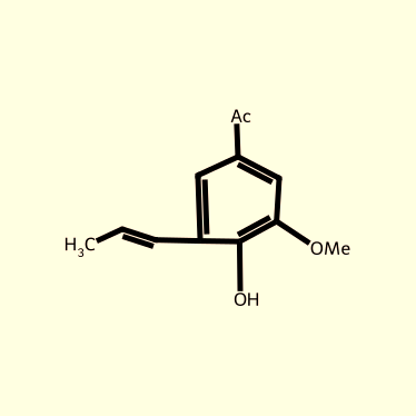 CC=Cc1cc(C(C)=O)cc(OC)c1O